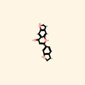 O=c1cc(-c2ccc3c(c2)OCC3)oc2cc3c(cc12)OCC3